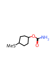 CSC1CCC(OC(N)=O)CC1